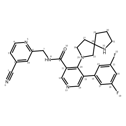 N#Cc1ccnc(CNC(=O)c2cncc(-c3cc(F)cc(F)c3)c2N2CCC3(CCCN3)C2)c1